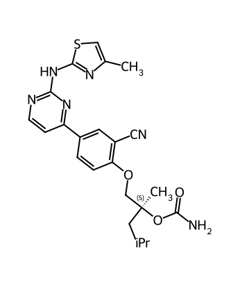 Cc1csc(Nc2nccc(-c3ccc(OC[C@](C)(CC(C)C)OC(N)=O)c(C#N)c3)n2)n1